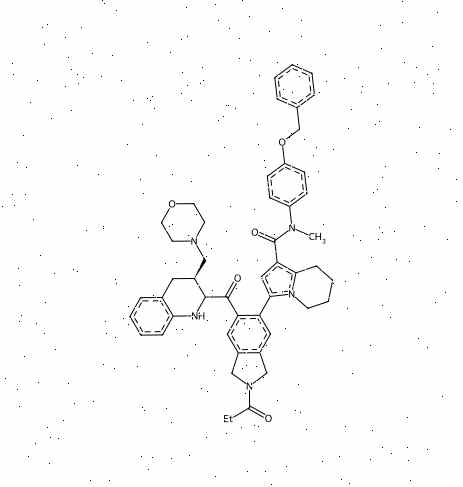 CCC(=O)N1Cc2cc(C(=O)C3Nc4ccccc4C[C@H]3CN3CCOCC3)c(-c3cc(C(=O)N(C)c4ccc(OCc5ccccc5)cc4)c4n3CCCC4)cc2C1